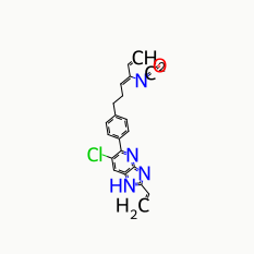 C=C/C(=C/CCc1ccc(-c2nc3nc(C=C)[nH]c3cc2Cl)cc1)N=C=O